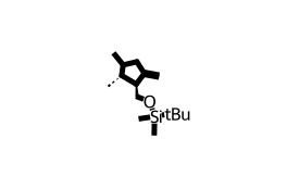 C=C1CC(C)[C@@H](C)[C@@H]1CO[Si](C)(C)C(C)(C)C